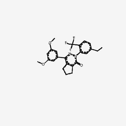 CCc1ccc(C(F)(F)F)c(-n2nc(-c3cc(OC)cc(OC)c3)c3c(c2=O)CCC3)c1